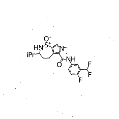 CC(C)C1CCc2c(cn(C)c2C(=O)Nc2ccc(F)c(C(F)F)c2)[S+]([O-])N1